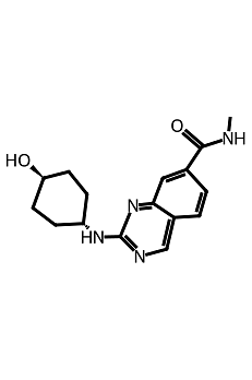 CNC(=O)c1ccc2cnc(N[C@H]3CC[C@H](O)CC3)nc2c1